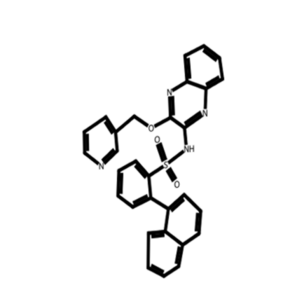 O=S(=O)(Nc1nc2ccccc2nc1OCc1cccnc1)c1ccccc1-c1cccc2ccccc12